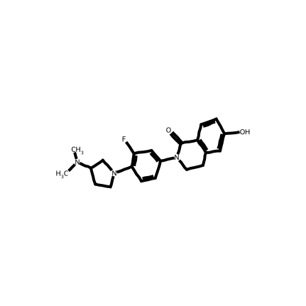 CN(C)C1CCN(c2ccc(N3CCc4cc(O)ccc4C3=O)cc2F)C1